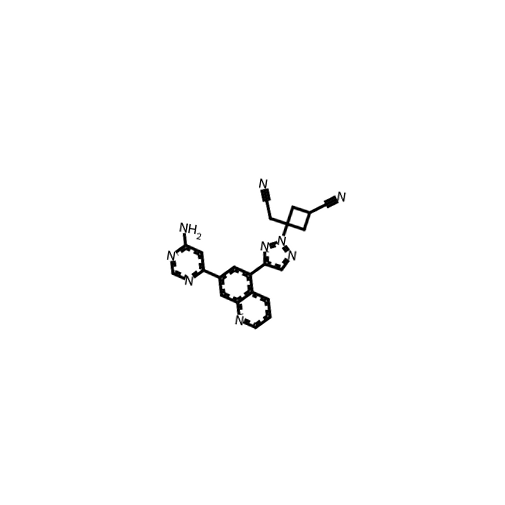 N#CCC1(n2ncc(-c3cc(-c4cc(N)ncn4)cc4ncccc34)n2)CC(C#N)C1